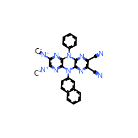 [C-]#[N+]c1nc2c(nc1[N+]#[C-])N(c1ccc3ccccc3c1)c1nc(C#N)c(C#N)nc1N2c1ccccc1